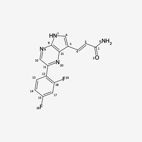 NC(=O)/C=C/c1c[nH]c2ncc(-c3ccc(F)cc3F)nc12